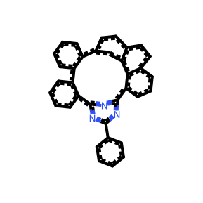 c1ccc(-c2nc3nc(n2)c2cccc4ccc5ccc(cc5c42)c2ccccc2c2ccccc32)cc1